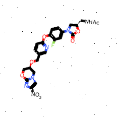 CC(=O)NC[C@H]1CN(c2ccc(Oc3ccc(CO[C@@H]4COc5nc([N+](=O)[O-])cn5C4)cn3)c(F)c2)C(=O)O1